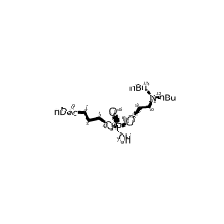 CCCCCCCCCCCCCOP(=O)(O)OCCN(CCCC)CCCC